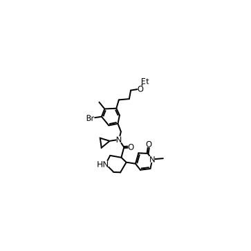 CCOCCCc1cc(CN(C(=O)C2CNCCC2c2ccn(C)c(=O)c2)C2CC2)cc(Br)c1C